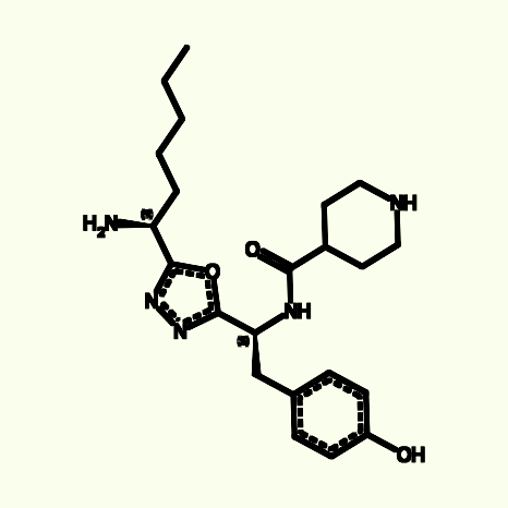 CCCCC[C@H](N)c1nnc([C@H](Cc2ccc(O)cc2)NC(=O)C2CCNCC2)o1